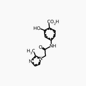 Cc1nccn1CC(=O)Nc1ccc(C(=O)O)c(O)c1